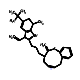 C=CC1C2=C(NC1CCCC1C/C=C\Cc3ccccc3SC1=C)C(C)CC(C(C)(C)C)=C2